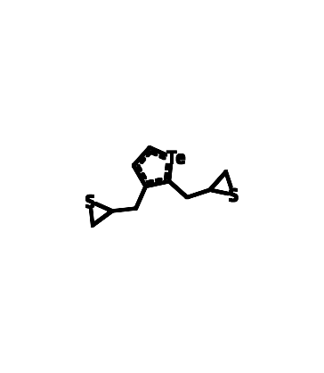 c1cc(CC2CS2)c(CC2CS2)[te]1